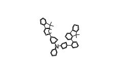 CC1(C)c2ccccc2-c2ccc(-c3ccc(N(c4ccccc4)c4ccc(-c5ccccc5-c5cccc6c5C(C)(C)c5ccccc5-6)cc4)cc3)cc21